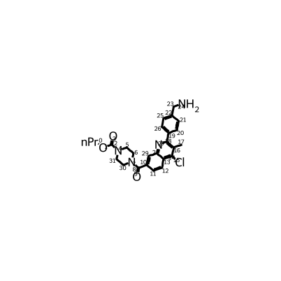 CCCOC(=O)N1CCN(C(=O)c2ccc3c(Cl)c(C)c(-c4ccc(CN)cc4)nc3c2)CC1